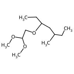 CCC(C)CC(CC)OCC(OC)OC